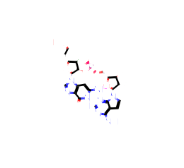 Nc1cc2c(ncn2[C@@H]2O[C@H](CCO)[C@@H](F)[C@H]2OP(=O)(S)OC[C@H]2O[C@@H](n3ccc4c(N)ncnc43)[C@@H](F)[C@@H]2O)c(=O)[nH]1